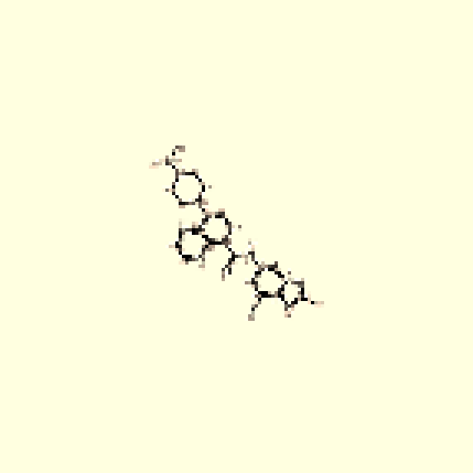 Cc1cn2cc(NC(=O)c3ccc(N4CCC(N(C)C)CC4)c4nccnc34)cc(F)c2n1